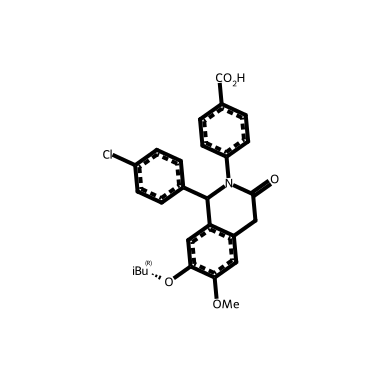 CC[C@@H](C)Oc1cc2c(cc1OC)CC(=O)N(c1ccc(C(=O)O)cc1)C2c1ccc(Cl)cc1